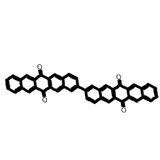 O=C1c2cc3ccccc3cc2C(=O)c2cc3cc(-c4ccc5cc6c(cc5c4)C(=O)c4cc5ccccc5cc4C6=O)ccc3cc21